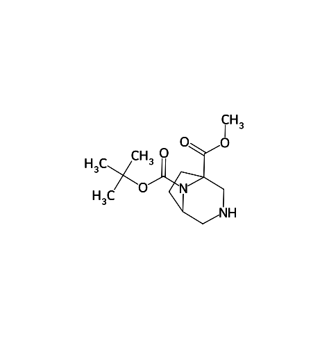 COC(=O)C12CCC(CNC1)N2C(=O)OC(C)(C)C